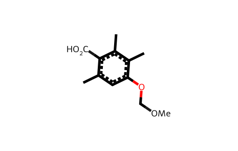 COCOc1cc(C)c(C(=O)O)c(C)c1C